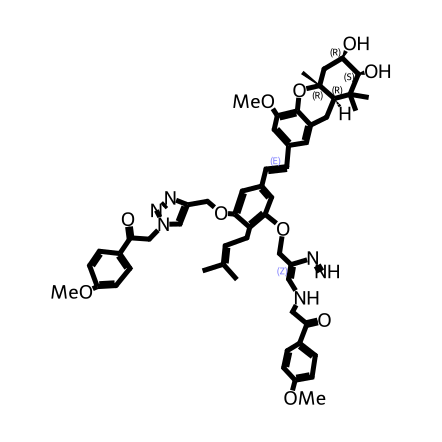 COc1ccc(C(=O)CN/C=C(/COc2cc(/C=C/c3cc4c(c(OC)c3)O[C@]3(C)C[C@@H](O)[C@@H](O)C(C)(C)[C@H]3C4)cc(OCc3cn(CC(=O)c4ccc(OC)cc4)nn3)c2CC=C(C)C)N=N)cc1